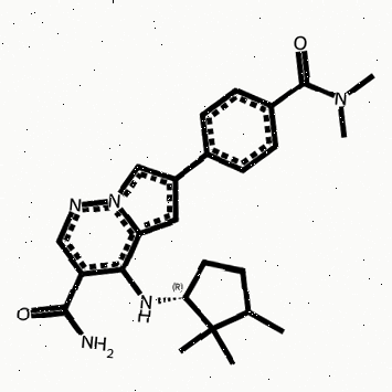 CC1CC[C@@H](Nc2c(C(N)=O)cnn3cc(-c4ccc(C(=O)N(C)C)cc4)cc23)C1(C)C